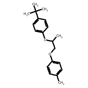 Cc1ccc(OCC(C)Oc2ccc(C(C)(C)C)cc2)cc1